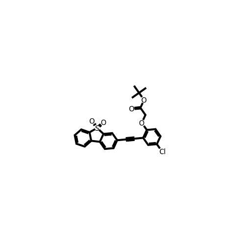 CC(C)(C)OC(=O)COc1ccc(Cl)cc1C#Cc1ccc2c(c1)S(=O)(=O)c1ccccc1-2